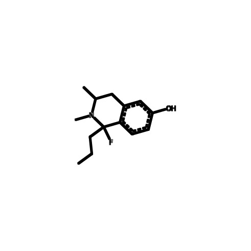 CCCC1(F)c2ccc(O)cc2CC(C)N1C